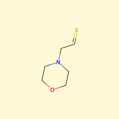 S=CCN1CCOCC1